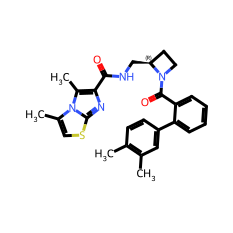 Cc1ccc(-c2ccccc2C(=O)N2CC[C@@H]2CNC(=O)c2nc3scc(C)n3c2C)cc1C